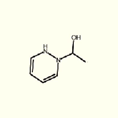 [CH2]C(O)N1C=CC=CN1